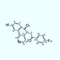 O=C(CC(C(=O)c1ccc(F)cc1)c1ccncc1)c1ccc(F)cc1